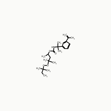 C=C(C)c1cccc(C(C)(C)NC(=O)OC(C)CC(C)(C)OOC(C)(C)CC)c1